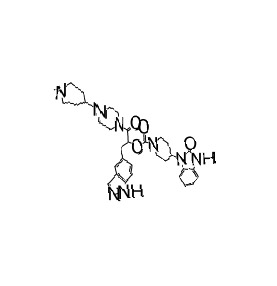 CN1CCC(N2CCN(C(=O)C(Cc3ccc4[nH]ncc4c3)OC(=O)N3CCC(n4c(=O)[nH]c5ccccc54)CC3)CC2)CC1